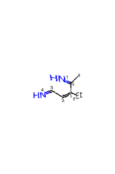 CC/C(=C/C=N)C(C)=N